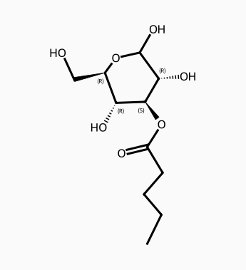 CCCCC(=O)O[C@H]1[C@H](O)[C@@H](CO)OC(O)[C@@H]1O